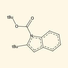 CC(C)(C)OC(=O)n1c(C(C)(C)C)cc2ccccc21